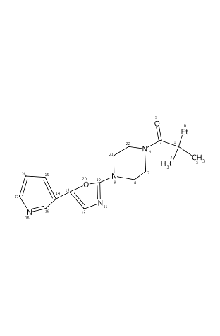 CCC(C)(C)C(=O)N1CCN(c2ncc(-c3cccnc3)o2)CC1